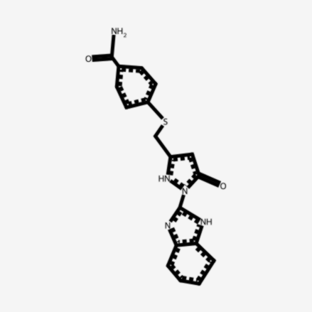 NC(=O)c1ccc(SCc2cc(=O)n(-c3nc4ccccc4[nH]3)[nH]2)cc1